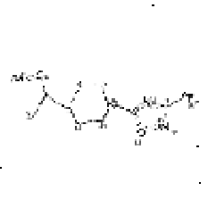 COC(C)C1CCN(c2nc(C(F)(F)F)no2)CC1